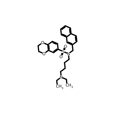 CCN(CC)CCCCN(Cc1ccc2ccccc2c1)S(=O)(=O)c1ccc2c(c1)OCCO2